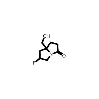 O=C1CCC2(CO)CC(F)CN12